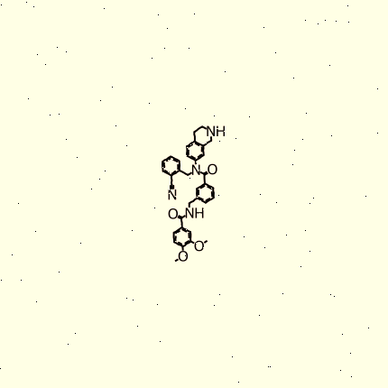 COc1ccc(C(=O)NCc2cccc(C(=O)N(Cc3ccccc3C#N)c3ccc4c(c3)CNCC4)c2)cc1OC